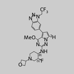 [2H]c1cc(-c2ccc3nnn(CC(F)(F)F)c3c2)c2c(OC)nc(N[C@@H]3CCN(C4COC4)C[C@@H]3F)nn12